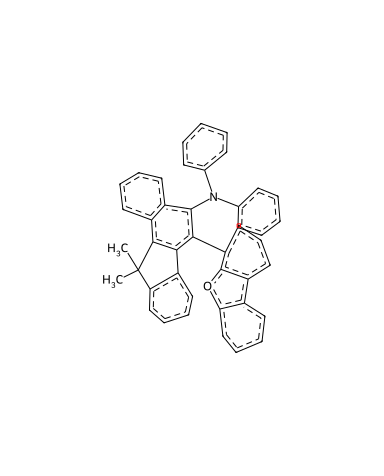 CC1(C)c2ccccc2-c2c(-c3cccc4c3oc3ccccc34)c(N(c3ccccc3)c3ccccc3)c3ccccc3c21